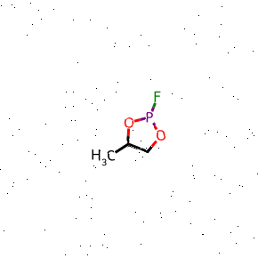 CC1COP(F)O1